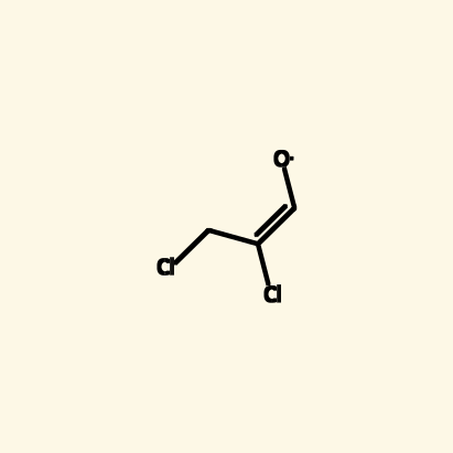 [O]/C=C(/Cl)CCl